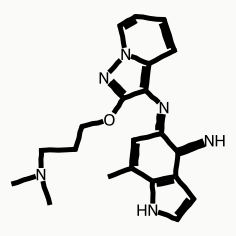 CC1=CC(=Nc2c(OCCCN(C)C)nn3ccccc23)C(=N)c2cc[nH]c21